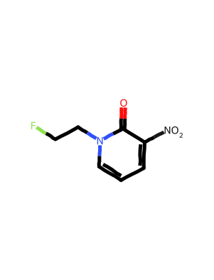 O=c1c([N+](=O)[O-])cccn1CCF